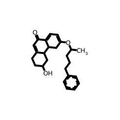 CC(CCCc1ccccc1)OC1=CC=C2C(=O)C=C3CCC(O)CC3C2C1